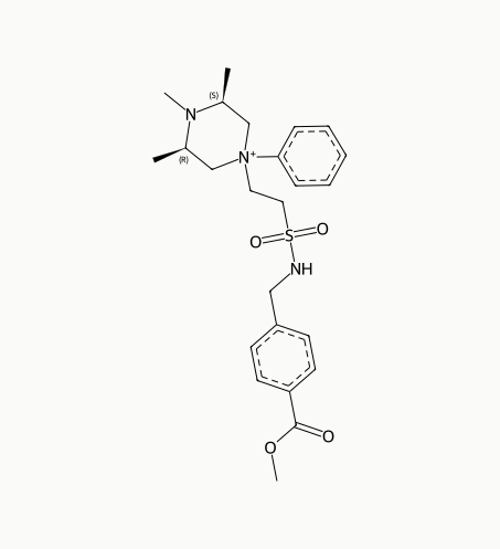 COC(=O)c1ccc(CNS(=O)(=O)CC[N+]2(c3ccccc3)C[C@@H](C)N(C)[C@@H](C)C2)cc1